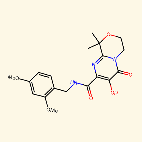 COc1ccc(CNC(=O)c2nc3n(c(=O)c2O)CCOC3(C)C)c(OC)c1